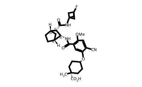 COc1cc(C#N)c(O[C@H]2CC[C@@](C)(C(=O)O)CC2)cc1C(=O)N[C@@H]1[C@@H]2CC[C@@H](C2)[C@@H]1C(=O)NC12CC(F)(C1)C2